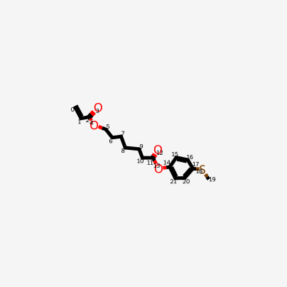 C=CC(=O)OCCCCCCC(=O)Oc1ccc(SC)cc1